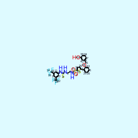 O=S(=O)(NCCNC(=S)Nc1cc(C(F)(F)F)cc(C(F)(F)F)c1)c1ccc(-c2ccccc2OCc2cccc(O)c2)s1